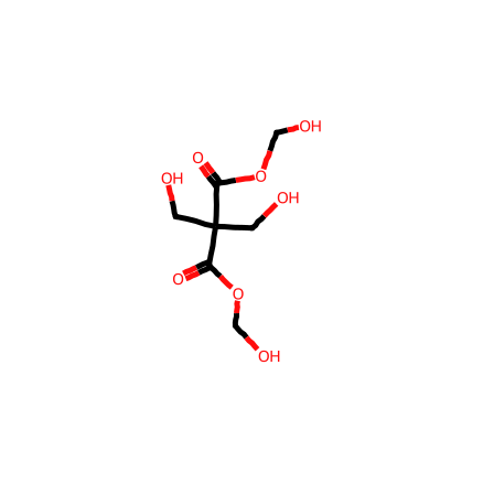 O=C(OCO)C(CO)(CO)C(=O)OCO